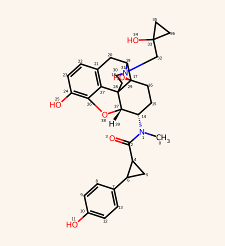 CN(C(=O)C1CC1c1ccc(O)cc1)[C@H]1CC[C@@]2(O)C3Cc4ccc(O)c5c4C2(CCN3CC2(O)CC2)[C@H]1O5